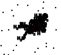 NCCCC[C@H](N)C(=O)N[C@@H](CCCN=C(N)N)C(=O)N1CCC[C@H]1C(=O)N1CCC[C@H]1C(=O)NCC(=O)N[C@@H](Cc1ccccc1)C(=O)N[C@@H](CO)C(=O)N1CCC[C@H]1C(=O)N[C@@H](Cc1ccccc1)C(=O)N[C@@H](CCCN=C(N)N)C(=O)O